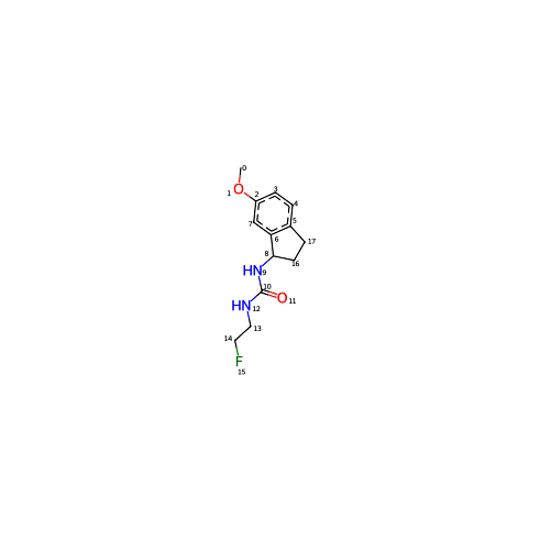 COc1ccc2c(c1)C(NC(=O)NCCF)CC2